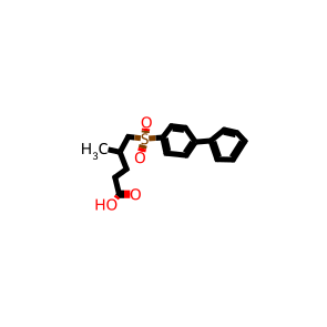 CC(CCC(=O)O)CS(=O)(=O)c1ccc(-c2ccccc2)cc1